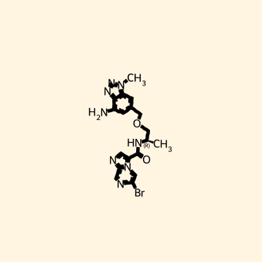 C[C@H](COCc1cc(N)c2nnn(C)c2c1)NC(=O)c1cnc2cnc(Br)cn12